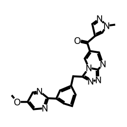 COc1cnc(-c2cccc(Cc3nnc4ncc(C(=O)c5cnn(C)c5)cn34)c2)nc1